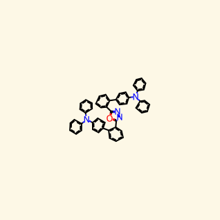 c1ccc(N(c2ccccc2)c2ccc(-c3ccccc3-c3nnc(-c4ccccc4-c4ccc(N(c5ccccc5)c5ccccc5)cc4)o3)cc2)cc1